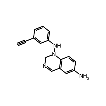 C#Cc1cccc(NN2CN=Cc3cc(N)ccc32)c1